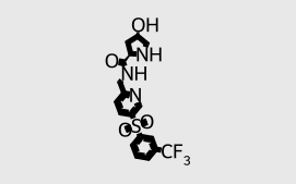 O=C(NCc1ccc(S(=O)(=O)c2cccc(C(F)(F)F)c2)cn1)[C@H]1C[C@@H](O)CN1